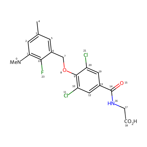 CNc1cc(C)cc(COc2c(Cl)cc(C(=O)NCC(=O)O)cc2Cl)c1F